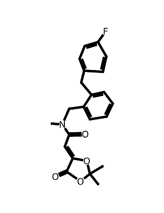 CN(Cc1ccccc1Cc1ccc(F)cc1)C(=O)C=C1OC(C)(C)OC1=O